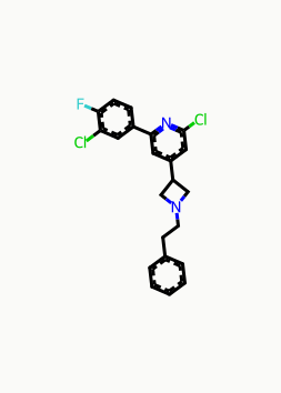 Fc1ccc(-c2cc(C3CN(CCc4ccccc4)C3)cc(Cl)n2)cc1Cl